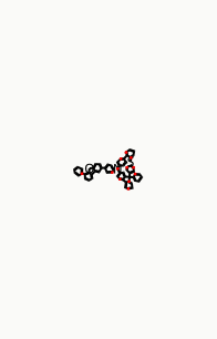 c1ccc(-c2cccc3c2oc2ccc(-c4ccc(N(c5ccc6c(c5)C(c5ccccc5)(c5ccccc5)c5ccccc5-6)c5ccc6c(c5)sc5ccccc56)cc4)cc23)cc1